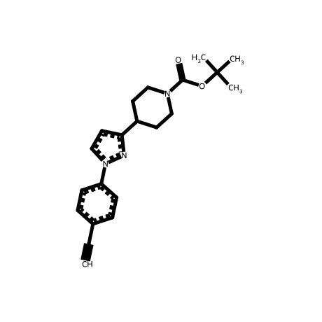 C#Cc1ccc(-n2ccc(C3CCN(C(=O)OC(C)(C)C)CC3)n2)cc1